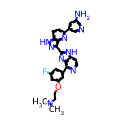 CN(C)CCOc1cc(F)cc(-c2nccc3[nH]c(-c4n[nH]c5ccc(-c6cncc(N)c6)nc45)nc23)c1